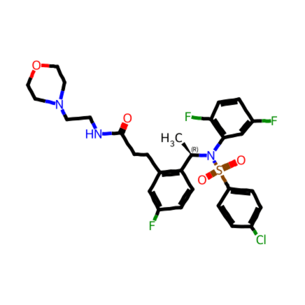 C[C@H](c1ccc(F)cc1CCC(=O)NCCN1CCOCC1)N(c1cc(F)ccc1F)S(=O)(=O)c1ccc(Cl)cc1